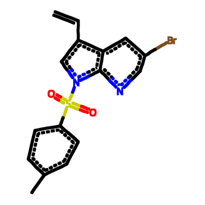 C=Cc1cn(S(=O)(=O)c2ccc(C)cc2)c2ncc(Br)cc12